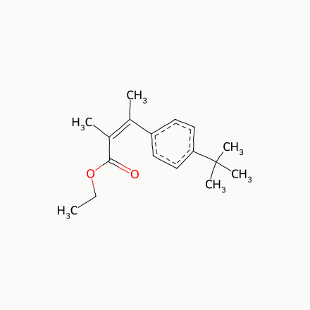 CCOC(=O)C(C)=C(C)c1ccc(C(C)(C)C)cc1